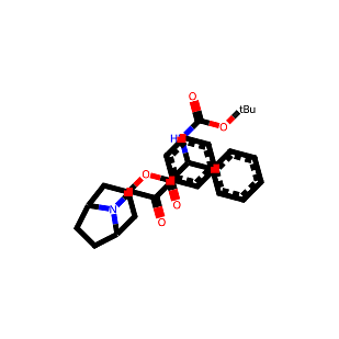 CC(C)(C)OC(=O)NC(C(=O)OC1CC2CCC(C1)N2CC(=O)c1ccccc1)c1ccccc1